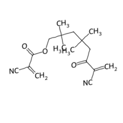 C=C(C#N)C(=O)CC(C)(C)CC(C)(C)COC(=O)C(=C)C#N